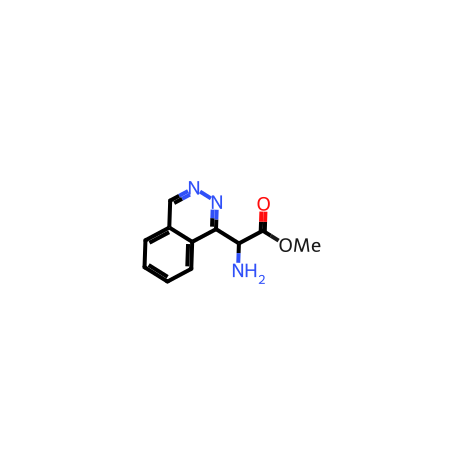 COC(=O)C(N)c1nncc2ccccc12